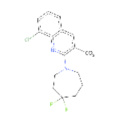 O=C(O)c1cc2cccc(Cl)c2nc1N1CCCC(F)(F)CC1